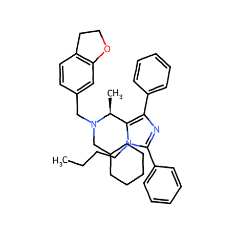 CCCCn1c(-c2ccccc2)nc(-c2ccccc2)c1[C@H](C)N(Cc1ccc2c(c1)OCC2)CC1CCCCC1